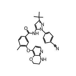 Cc1ccc(C(=O)Nc2cc(C(C)(C)C)nn2-c2ccc(C#N)cc2)cc1Oc1ccnc2c1OCCN2